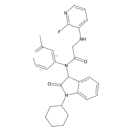 C=C(C)/C=C(\C=C/C)N(C(=O)CNc1cccnc1F)C1C(=O)N(C2CCCCC2)c2ccccc21